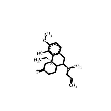 C=CCN(C)C1Cc2ccc(OC)c(O)c2[C@]2(CC)CC(=O)CCC12